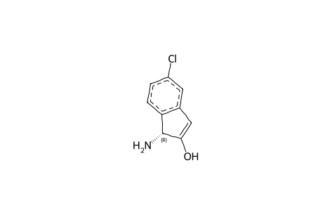 N[C@H]1C(O)=Cc2cc(Cl)ccc21